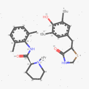 CC(C)(C)c1cc(CC2SCNC2=O)cc(C(C)(C)C)c1O.CCCN1CCCC[C@H]1C(=O)Nc1c(C)cccc1C